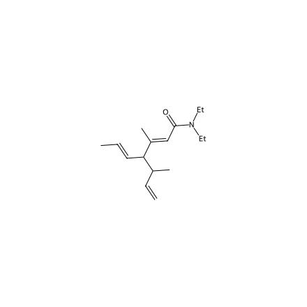 C=CC(C)C(/C=C/C)/C(C)=C/C(=O)N(CC)CC